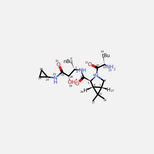 CCCC[C@H](NC(=O)[C@@H]1[C@@H]2[C@H](CN1C(=O)[C@@H](N)C(C)(C)C)C2(C)C)[C@H](O)C(=O)NC1CC1